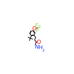 CC(C)(C)c1ccc(OC(F)(F)F)cc1CCC(=O)CN